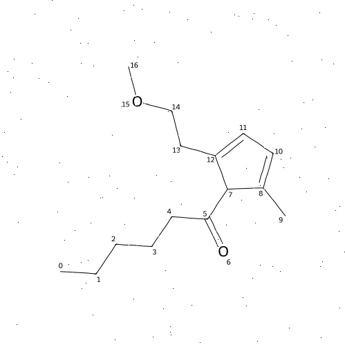 CCCCCC(=O)C1C(C)=CC=C1CCOC